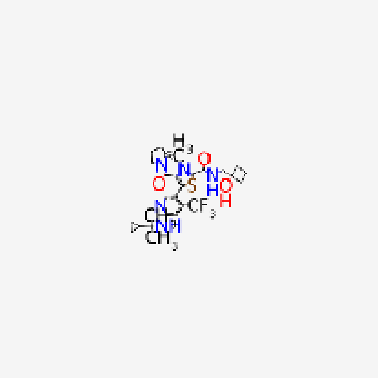 C[C@H]1CCCN1C(=O)c1nc(C(=O)NCC2(O)CCC2)sc1-c1cnc(NC(C)(C)C2CC2)cc1C(F)(F)F